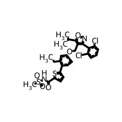 CCc1cc(OCc2c(-c3c(Cl)cccc3Cl)noc2C(C)C)ccc1-c1ccc(C(=O)NS(C)(=O)=O)s1